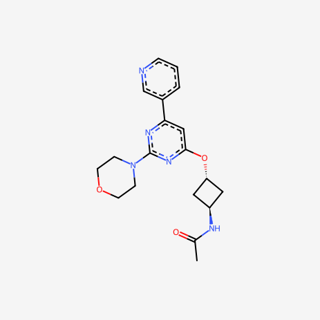 CC(=O)N[C@H]1C[C@H](Oc2cc(-c3cccnc3)nc(N3CCOCC3)n2)C1